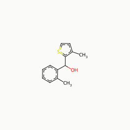 Cc1ccccc1C(O)c1sccc1C